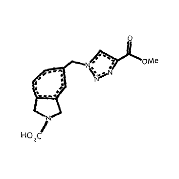 COC(=O)c1cn(Cc2ccc3c(c2)CN(C(=O)O)C3)nn1